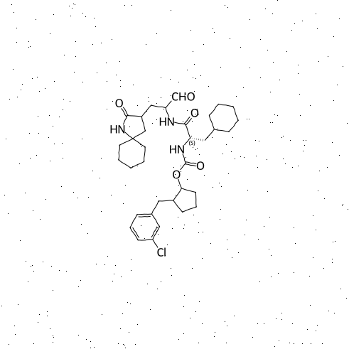 O=CC(CC1CC2(CCCCC2)NC1=O)NC(=O)[C@H](CC1CCCCC1)NC(=O)OC1CCCC1Cc1cccc(Cl)c1